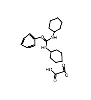 O=C([O-])C(=O)O.c1ccc([O+]=C(NC2CCCCC2)NC2CCCCC2)cc1